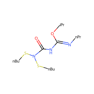 CCCCSN(SCCCC)C(=O)NC(=NCCC)OC(C)C